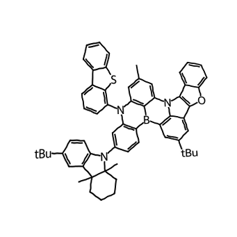 Cc1cc2c3c(c1)-n1c4c(cc(C(C)(C)C)cc4c4oc5ccccc5c41)B3c1ccc(N3c4ccc(C(C)(C)C)cc4C4(C)CCCCC34C)cc1N2c1cccc2c1sc1ccccc12